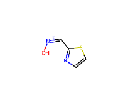 O/N=C\c1nccs1